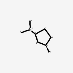 C[C@@H]1CCC(N(C)C)C1